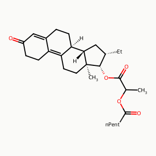 CCCCCC(=O)OC(C)C(=O)O[C@H]1[C@@H](CC)C[C@H]2[C@@H]3CCC4=CC(=O)CCC4=C3CC[C@@]21C